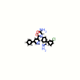 NC[C@]1(c2cccc(Cl)c2)CC[C@H](N(CC(N)=O)C(=O)c2cncc(-c3ccccc3)c2)CC1